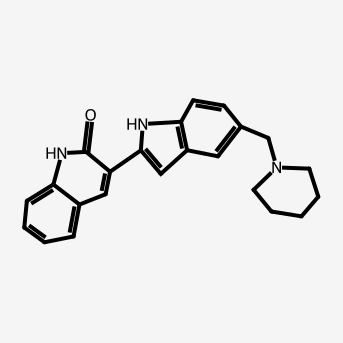 O=c1[nH]c2ccccc2cc1-c1cc2cc(CN3CCCCC3)ccc2[nH]1